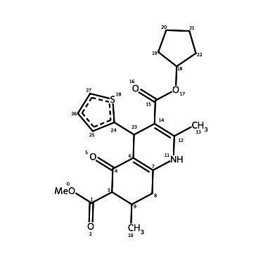 COC(=O)C1C(=O)C2=C(CC1C)NC(C)=C(C(=O)OC1CCCC1)C2c1cccs1